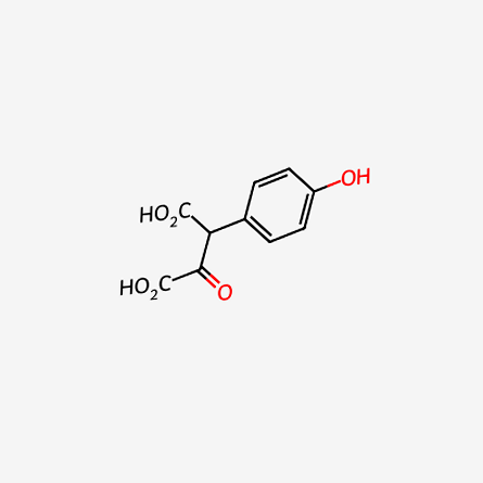 O=C(O)C(=O)C(C(=O)O)c1ccc(O)cc1